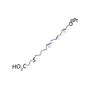 CCCOC/C=C/C/C=C/C/C=C/CCCCSCCC(=O)O